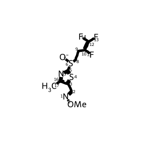 CON=Cc1sc([S+]([O-])CCC(F)=C(F)F)nc1C